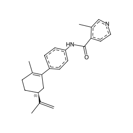 C=C(C)[C@H]1CCC(C)=C(c2ccc(NC(=O)c3ccncc3C)cc2)C1